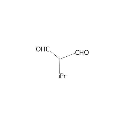 C[C](C)C(C=O)C=O